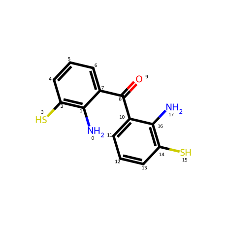 Nc1c(S)cccc1C(=O)c1cccc(S)c1N